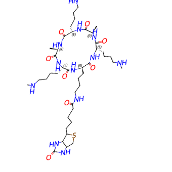 CNCCCC[C@@H]1NC(=O)[C@@H](C)NC(=O)[C@H](CCCCNC)NC(=O)[C@@H](CCCCNC(=O)CCCCC2SCC3NC(=O)NC32)NC(=O)[C@H](CCCCNC)NC(=O)[C@@H](C)NC1=O